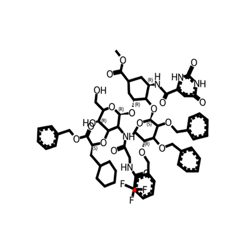 COC(=O)C1C[C@@H](NC(=O)c2cc(=O)[nH]c(=O)[nH]2)C(O[C@@H]2OC(C)[C@@H](OCc3ccccc3)C(OCc3ccccc3)C2OCc2ccccc2)[C@H](O[C@@H]2OC(CO)[C@H](O)C(O[C@@H](CC3CCCCC3)C(=O)OCc3ccccc3)C2NC(=O)CNC(=O)C(F)(F)F)C1